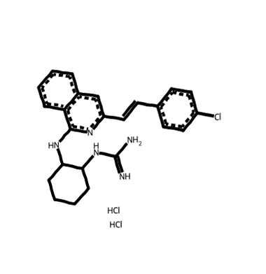 Cl.Cl.N=C(N)NC1CCCCC1Nc1nc(/C=C/c2ccc(Cl)cc2)cc2ccccc12